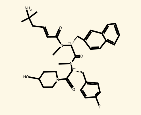 CN(C(=O)C=CCC(C)(C)N)[C@H](Cc1ccc2ccccc2c1)C(=O)N(C)[C@H](Cc1ccc(F)cc1)C(=O)N1CCC(O)CC1